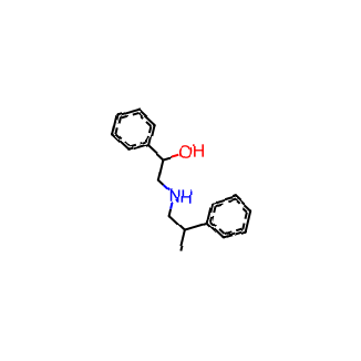 CC(CNCC(O)c1ccccc1)c1ccccc1